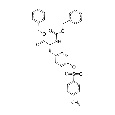 Cc1ccc(S(=O)(=O)Oc2ccc(C[C@H](NC(=O)OCc3ccccc3)C(=O)OCc3ccccc3)cc2)cc1